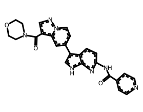 O=C(Nc1ccc2c(-c3ccn4ncc(C(=O)N5CCOCC5)c4c3)c[nH]c2n1)c1ccncc1